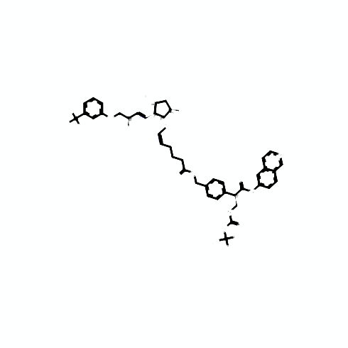 CC(C)(C)OC(=O)NC[C@H](C(=O)Nc1ccc2cnccc2c1)c1ccc(COC(=O)CCC/C=C\C[C@@H]2[C@@H](/C=C/[C@@H](O)COc3cccc(C(F)(F)F)c3)[C@H](O)C[C@H]2O)cc1